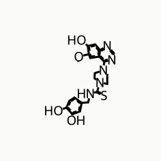 COc1cc2c(N3CCN(C(=S)NCc4ccc(O)c(O)c4)CC3)ncnc2cc1O